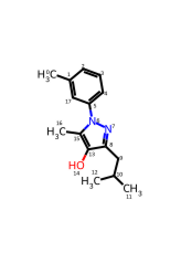 Cc1cccc(-n2nc(CC(C)C)c(O)c2C)c1